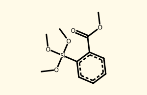 COC(=O)c1ccccc1[Si](OC)(OC)OC